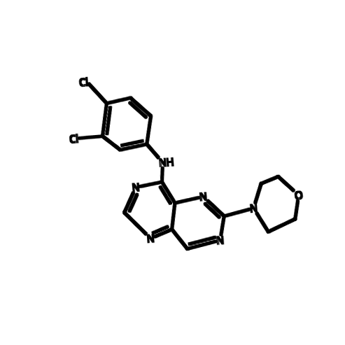 Clc1ccc(Nc2ncnc3cnc(N4CCOCC4)nc23)cc1Cl